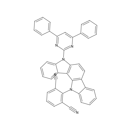 N#Cc1cccc(C#N)c1-n1c2ccccc2c2ccc3c(c4ccccc4n3-c3nc(-c4ccccc4)cc(-c4ccccc4)n3)c21